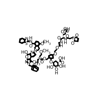 COCCN(CCOC12CC3CC(CC(Cn4ncc(-c5ccc(N6CCc7c(OC)ccc(C(=O)Nc8nc9ccccc9s8)c7C6)nc5C(=O)O)c4C)(C3)C1)C2)C(=O)OCc1ccc(OCCOCCNC(=O)[C@H](CCS(=O)(=O)O)NC(=O)CCN2C(=O)C=CC2=O)cc1O[C@@H]1C[C@H](C(=O)O)[C@@H](O)[C@H](O)[C@H]1O